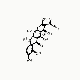 C[C@H]1c2ccc(N)c(O)c2C(=O)C2=C(O)[C@]3(O)C(=N)C(C(N)=O)=C(O)CC3[C@@H](O)C21